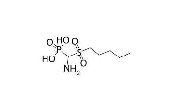 CCCCCS(=O)(=O)C(N)P(=O)(O)O